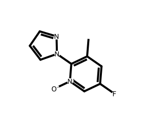 Cc1cc(F)c[n+]([O-])c1-n1cccn1